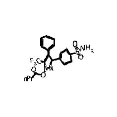 CCCC(=O)On1nc(-c2ccc(S(N)(=O)=O)cc2)c(-c2ccccc2)c1C(F)(F)F